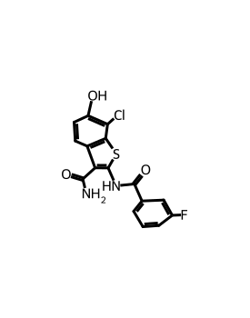 NC(=O)c1c(NC(=O)c2cccc(F)c2)sc2c(Cl)c(O)ccc12